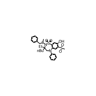 CCCCC1(CC)CN(c2ccccc2)c2cc(S(C)(=O)=O)c(O)cc2S(=O)(=O)N1B(C)Cc1ccccc1